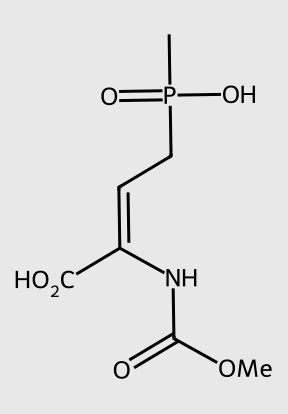 COC(=O)N/C(=C\CP(C)(=O)O)C(=O)O